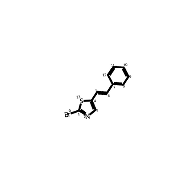 Brc1ncc(C=Cc2ccccc2)s1